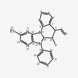 C=CC1c2ccccc2N2c3nc(CC)cnc3N(c3ccccc3)C2C1C